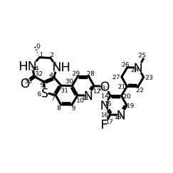 C[C@@H]1CNc2c(sc3ccc4nc(Oc5nc(F)ncc5C5=CCN(C)CC5)ccc4c23)C(=O)N1